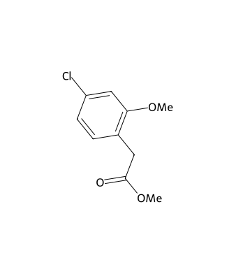 COC(=O)Cc1ccc(Cl)cc1OC